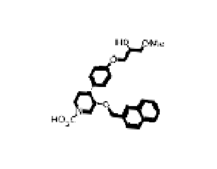 COC[C@H](O)COc1ccc([C@H]2CCN(C(=O)O)C[C@@H]2OCc2ccc3ccccc3c2)cc1